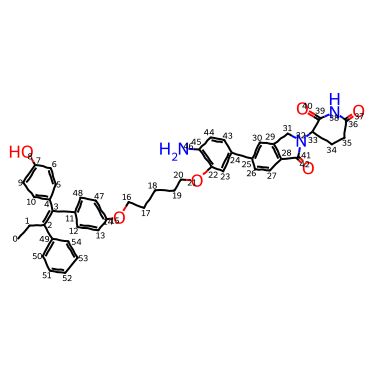 CC/C(=C(\c1ccc(O)cc1)c1ccc(OCCCCCOc2cc(-c3ccc4c(c3)CN(C3CCC(=O)NC3=O)C4=O)ccc2N)cc1)c1ccccc1